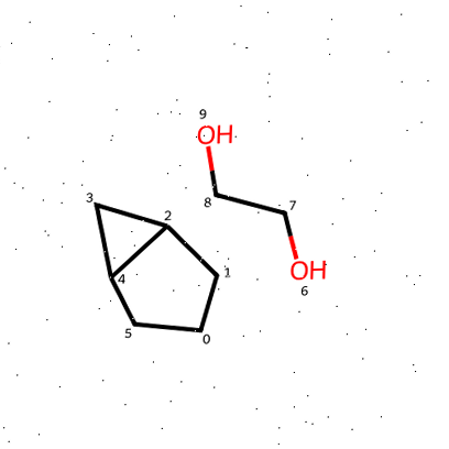 C1CC2CC2C1.OCCO